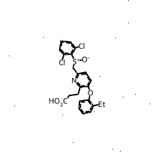 CCc1ccccc1Oc1ccc(C[S+]([O-])c2c(Cl)cccc2Cl)nc1CCC(=O)O